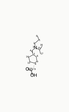 CCCN(C[C@H]1CC[C@H](CC(=O)O)CC1)C(C)C